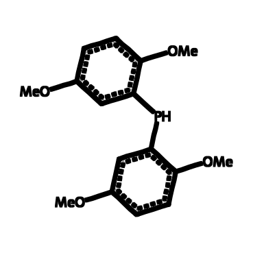 COc1ccc(OC)c(Pc2cc(OC)ccc2OC)c1